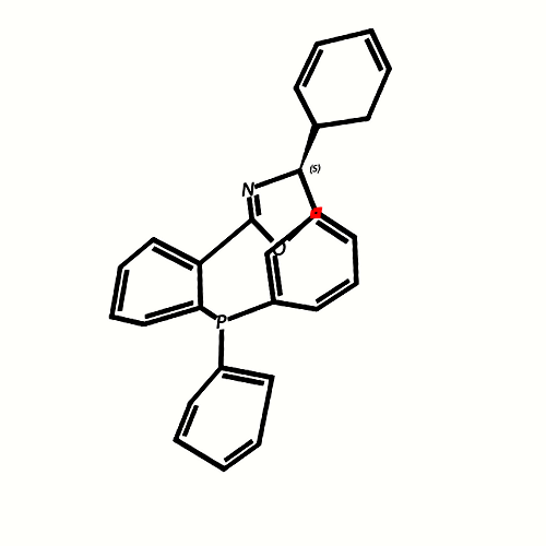 C1=CCC([C@H]2COC(c3ccccc3P(c3ccccc3)c3ccccc3)=N2)C=C1